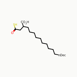 CCCCCCCCCCCCCCCCCCCCC(CC(=O)S)C(=O)O